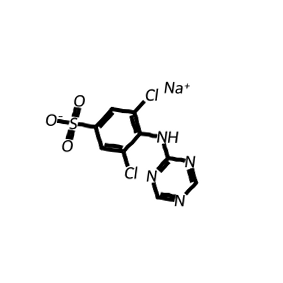 O=S(=O)([O-])c1cc(Cl)c(Nc2ncncn2)c(Cl)c1.[Na+]